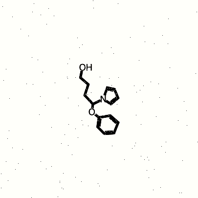 OCCCC(Oc1ccccc1)n1cccc1